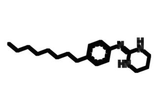 CCCCCCCCc1ccc(N=C2NCCCN2)cc1